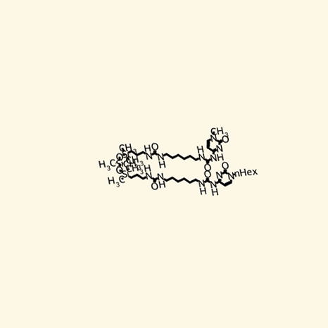 CCCCCCn1ccc(NC(=O)NCCCCCCNC(=O)NCCC[Si](C)(C)O[Si](C)(C)O[Si](C)(C)CCCNC(=O)NCCCCCCNC(=O)Nc2ccn(C)c(=O)n2)nc1=O